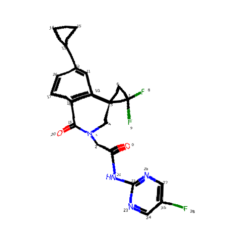 O=C(CN1C[C@]2(CC2(F)F)c2cc(C3CC3)ccc2C1=O)Nc1ncc(F)cn1